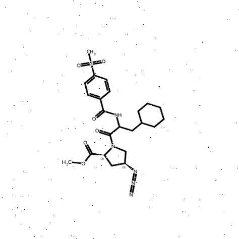 COC(=O)[C@@H]1C[C@H](N=[N+]=[N-])CN1C(=O)C(CC1CCCCC1)NC(=O)c1ccc(S(C)(=O)=O)cc1